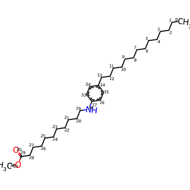 CCCCCCCCCCCCCCc1ccc(NCCCCCCCCCCC(=O)OC)cc1